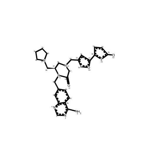 Nc1ncnc2cc(CN3C(=O)CN(Cc4cc(-c5ccc(Cl)s5)on4)C[C@@H]3CN3CCCC3)ccc12